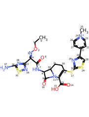 CCO/N=C(\C(=O)NC1C(=O)N2C(C(=O)O)=C(Sc3nc(-c4cc[n+](C)cc4)cs3)CCC12)c1nsc(N)n1